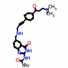 CN(C)CCC(=O)c1ccc(C#CCNCc2ccc3nc(NC(=O)C(C)(C)C)[nH]c(=O)c3c2)cc1